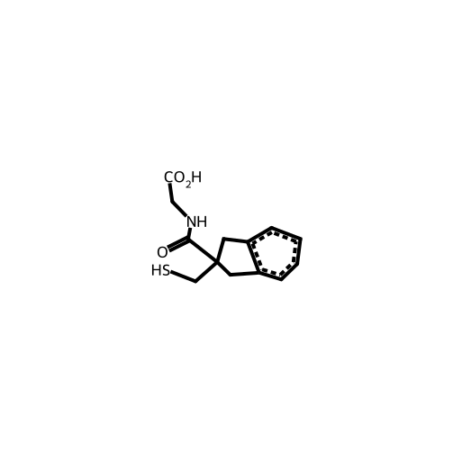 O=C(O)CNC(=O)C1(CS)Cc2ccccc2C1